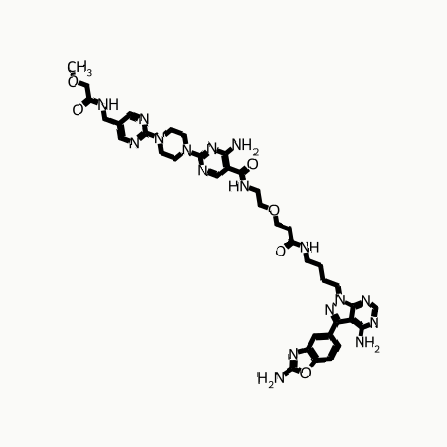 COCC(=O)NCc1cnc(N2CCN(c3ncc(C(=O)NCCOCCC(=O)NCCCCn4nc(-c5ccc6oc(N)nc6c5)c5c(N)ncnc54)c(N)n3)CC2)nc1